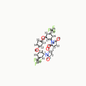 O=C1C=CC(=O)N1c1cc(Oc2ccc(Oc3cc(N4C(=O)C=CC4=O)cc(C(F)(F)F)c3)cc2)cc(C(F)(F)F)c1